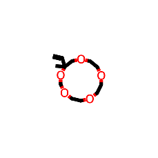 C=CC1(C)COCCOCCOCCOCO1